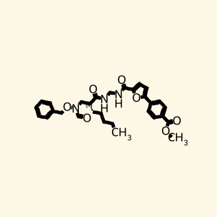 CCCCC[C@H](CN(C=O)OCc1ccccc1)C(=O)NCNC(=O)c1ccc(-c2ccc(C(=O)OC)cc2)o1